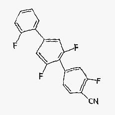 N#Cc1ccc(-c2c(F)cc(-c3ccccc3F)cc2F)cc1F